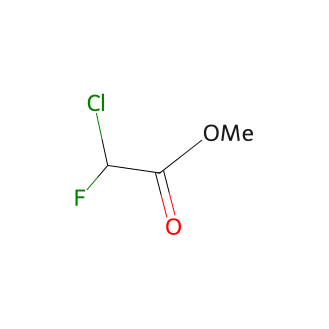 COC(=O)C(F)Cl